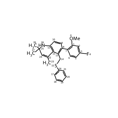 COc1cc(F)ccc1-c1ccc2c(c1CSc1ccccc1)C(C)=CC(C)(C)N2